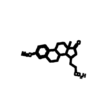 COc1ccc2c(c1)CCC1C2CCC2(C)C(=O)CC(CCC(=O)O)C12